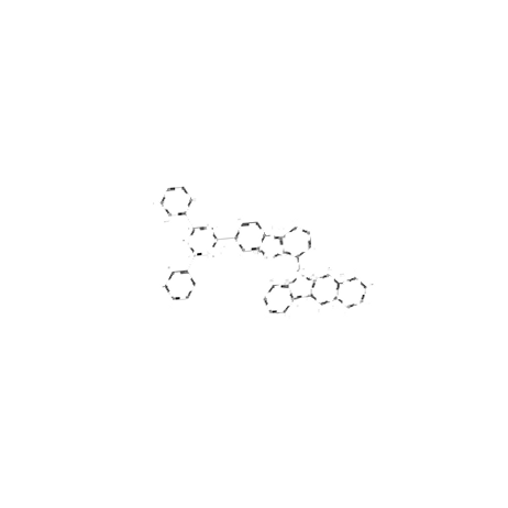 c1ccc(-c2nc(-c3ccccc3)nc(-c3ccc4c(c3)oc3c(-n5c6ccccc6c6cc7ccccc7cc65)cccc34)n2)cc1